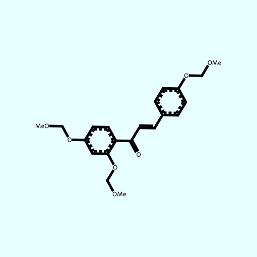 COCOc1ccc(C=CC(=O)c2ccc(OCOC)cc2OCOC)cc1